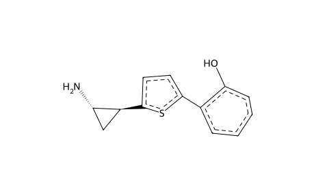 N[C@H]1C[C@@H]1c1ccc(-c2ccccc2O)s1